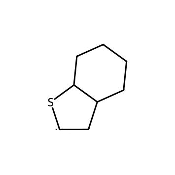 [CH]1CC2CCCCC2S1